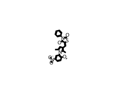 COc1ccc([N+](=O)[O-])cc1-n1c(C)cc(C=C2SC(=O)N(c3ccccc3)C2=O)c1C